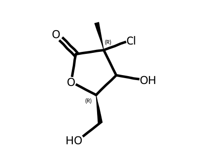 C[C@]1(Cl)C(=O)O[C@H](CO)C1O